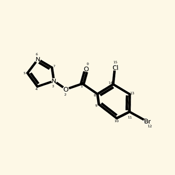 O=C(On1ccnc1)c1ccc(Br)cc1Cl